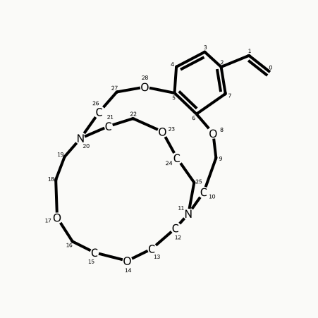 C=Cc1ccc2c(c1)OCCN1CCOCCOCCN(CCOCC1)CCO2